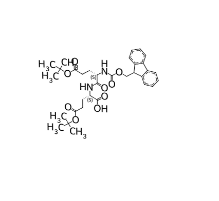 CC(C)(C)OC(=O)CC[C@H](NC(=O)[C@H](CCC(=O)OC(C)(C)C)NC(=O)OCC1c2ccccc2-c2ccccc21)C(=O)O